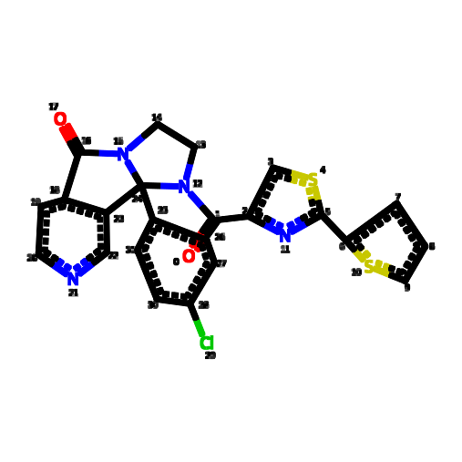 O=C(c1csc(-c2cccs2)n1)N1CCN2C(=O)c3ccncc3C12c1ccc(Cl)cc1